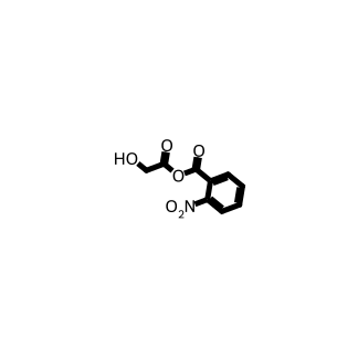 O=C(CO)OC(=O)c1ccccc1[N+](=O)[O-]